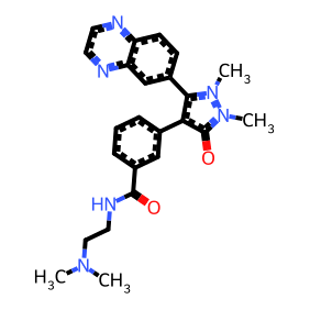 CN(C)CCNC(=O)c1cccc(-c2c(-c3ccc4nccnc4c3)n(C)n(C)c2=O)c1